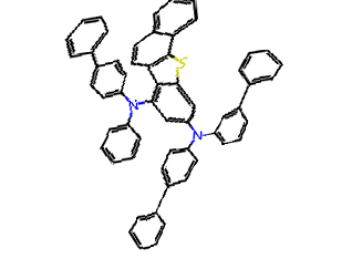 c1ccc(-c2ccc(N(c3cccc(-c4ccccc4)c3)c3cc(N(c4ccccc4)c4ccc(-c5ccccc5)cc4)c4c(c3)sc3c5ccccc5ccc34)cc2)cc1